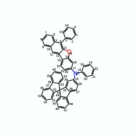 c1ccc(-c2c3ccccc3cc3c2oc2cc(N(c4ccccc4)c4ccc5c(c4)C4(c6ccccc6-c6ccccc64)c4ccccc4-5)ccc23)cc1